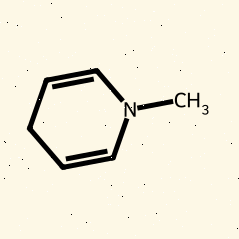 CN1C=CCC=C1